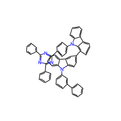 c1ccc(-c2cccc(-n3c4ccccc4c4cc(-c5cccc6c7ccccc7n(-c7ccc(-c8nc(-c9ccccc9)nc(-c9ccccc9)n8)cc7)c56)ccc43)c2)cc1